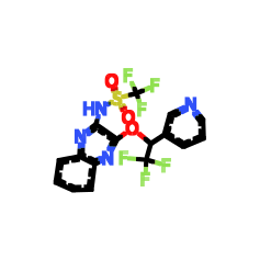 O=S(=O)(Nc1nc2ccccc2nc1OC(c1cccnc1)C(F)(F)F)C(F)(F)F